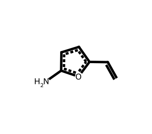 C=Cc1ccc(N)o1